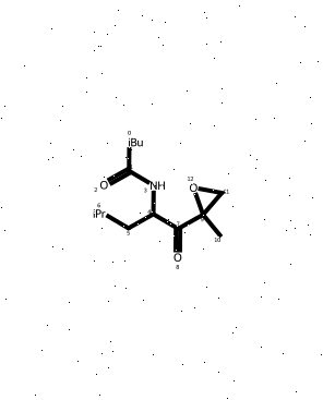 CCC(C)C(=O)NC(CC(C)C)C(=O)C1(C)CO1